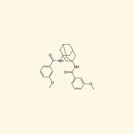 COc1cccc(C(=O)NC23CC4CC(C2)CC(NC(=O)c2cccc(OC)c2)(C4)C3)c1